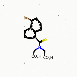 O=C(O)CN(CC(=O)O)C(=S)c1cccc2c(Br)cccc12